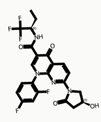 CC[C@@H](NC(=O)c1cn(-c2ccc(F)cc2F)c2nc(N3C[C@@H](O)CC3=O)ccc2c1=O)C(F)(F)F